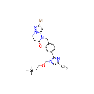 C[Si](C)(C)CCOCn1cc(C(F)(F)F)nc1-c1ccc(CN2C(=O)CCn3nc(Br)cc32)cc1